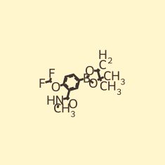 C=C1OB(c2ccc(OC(F)F)c(C(=O)NC)c2)OC1(C)C